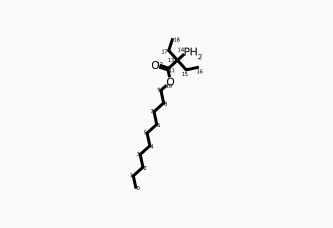 CCCCCCCCCCOC(=O)C(P)(CC)CC